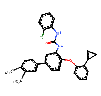 COc1ccc(-c2ccc(Oc3ccccc3C3CC3)c(NC(=O)Nc3ccccc3Cl)c2)cc1C(=O)O